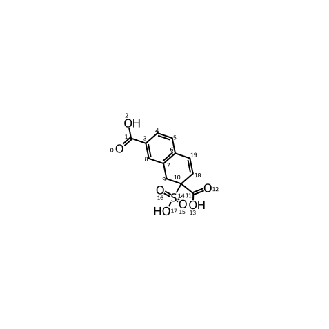 O=C(O)c1ccc2c(c1)CC(C(=O)O)(S(=O)(=O)O)C=C2